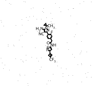 CC1(n2nc(-c3ccc(CC(=O)Nc4cc(C56CC(C(F)(F)F)(C5)C6)no4)cc3F)c(C#N)c2N)CC1